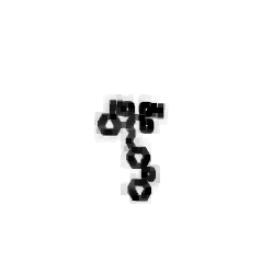 O=C(O)/C(O)=C(\CCc1ccc(Oc2ccccc2)cc1)c1ccccc1